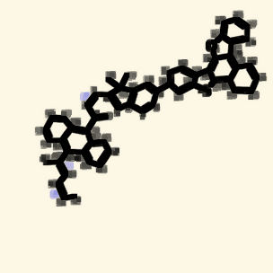 C=C(/C=C\C1=Cc2ccc(-c3ccc4c(c3)sc3c5ccccc5c5c6ccccc6oc5c43)cc2C1(C)C)c1c2ccccc2c(/C(C)=C/C=C\C)c2ccccc12